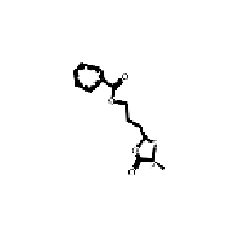 C[C@@H]1SC(CCCOC(=O)c2ccccc2)OC1=O